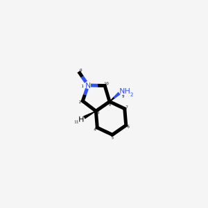 CN1C[C@H]2CCCC[C@@]2(N)C1